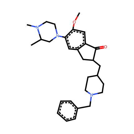 COc1cc2c(cc1N1CCN(C)C(C)C1)CC(CC1CCN(Cc3ccccc3)CC1)C2=O